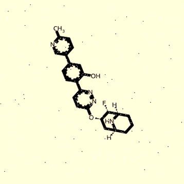 Cc1ccc(-c2ccc(-c3ccc(O[C@H]4C[C@@H]5CCC[C@@H](N5)[C@H]4F)nn3)c(O)c2)cn1